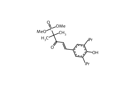 COP(=O)(OC)C(C)(C)C(=O)C=Cc1cc(C(C)C)c(O)c(C(C)C)c1